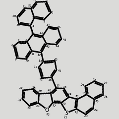 c1ccc2c(-c3c4ccccc4c(-c4ccc(-c5cc6c(sc7ccc8ccccc8c76)c6oc7ccccc7c56)cc4)c4ccccc34)cccc2c1